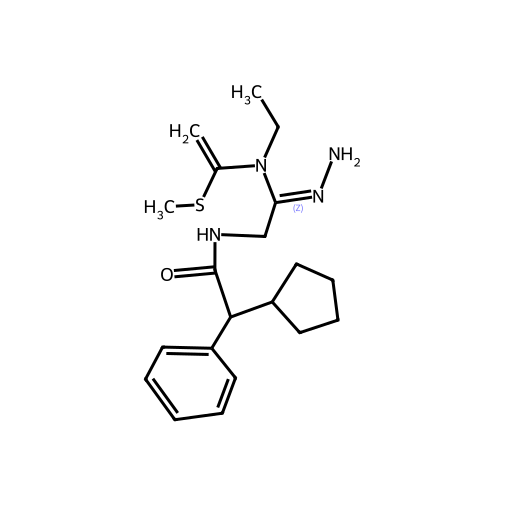 C=C(SC)N(CC)/C(CNC(=O)C(c1ccccc1)C1CCCC1)=N\N